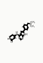 CN(C)Cc1ccc(-c2cc3c(Nc4cc[nH]c(=O)c4)ncnc3[nH]2)cc1